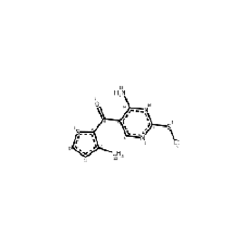 CCSc1ncc(C(=O)c2sccc2C)c(N)n1